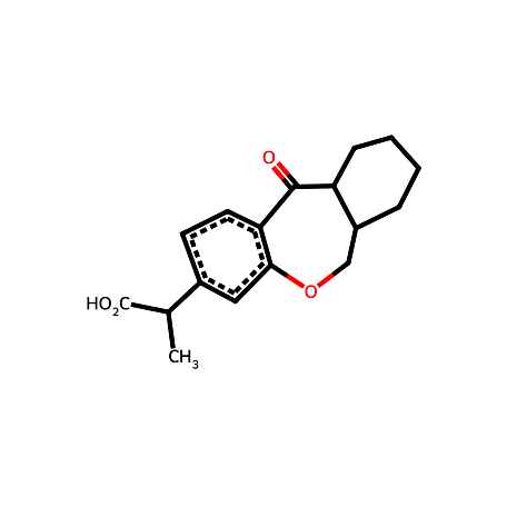 CC(C(=O)O)c1ccc2c(c1)OCC1CCCCC1C2=O